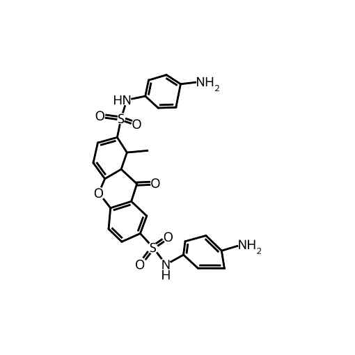 CC1C(S(=O)(=O)Nc2ccc(N)cc2)=CC=C2Oc3ccc(S(=O)(=O)Nc4ccc(N)cc4)cc3C(=O)C21